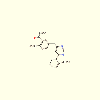 COC(=O)c1cc(Cc2cc(-c3ccccc3OC)ncn2)ccc1OC